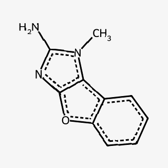 Cn1c(N)nc2oc3ccccc3c21